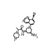 CC(C(=O)N[C@@H]1C[C@H](N)CN(c2ccc(C#N)c3ncncc23)C1)N1CCN(C)CC1